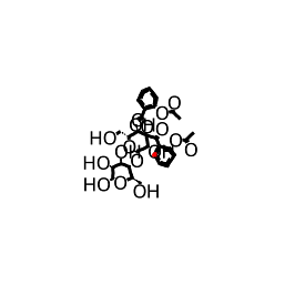 CC(=O)Oc1ccccc1C(=O)O[C@@]1(C(=O)c2ccccc2OC(C)=O)[C@H](O)[C@@H](CO)O[C@H](O[C@H]2[C@H](O)[C@@H](O)[C@H](O)O[C@@H]2CO)[C@@H]1O